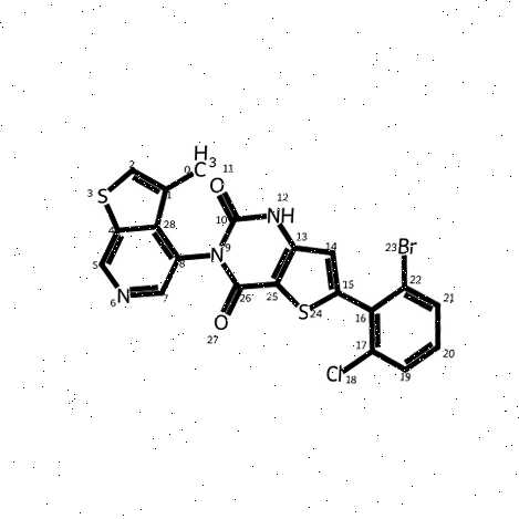 Cc1csc2cncc(-n3c(=O)[nH]c4cc(-c5c(Cl)cccc5Br)sc4c3=O)c12